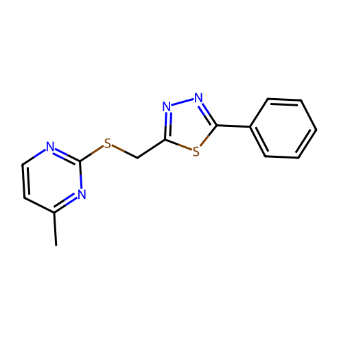 Cc1ccnc(SCc2nnc(-c3ccccc3)s2)n1